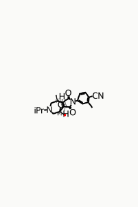 Cc1cc(N2C(=O)[C@@H]3[C@H](C2=O)[C@@]2(C)CN(C(C)C)C[C@]3(C)O2)ccc1C#N